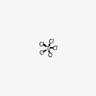 [Cl][Ti]([Cl])([Cl])([Cl])[Cl]